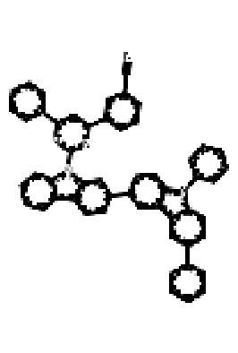 N#Cc1cccc(-c2cc(-c3ccccc3)nc(-n3c4ccccc4c4ccc(-c5ccc6c(c5)c5cc(-c7ccccc7)ccc5n6-c5ccccc5)cc43)n2)c1